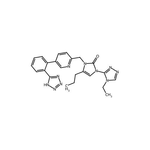 CCCc1cn(-c2nncn2CC)c(=O)n1Cc1ccc(-c2ccccc2-c2nnn[nH]2)cn1